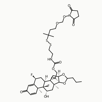 CCCC1O[C@@H]2CC3[C@@H]4C[C@H](F)C5=CC(=O)C=C[C@]5(C)[C@@]4(F)[C@@H](O)C[C@]3(C)[C@]2(C(=O)COC(=O)NCCSSC(C)(C)CCOCON2C(=O)CCC2=O)O1